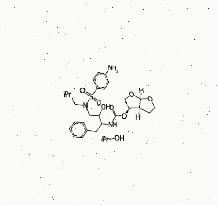 CC(C)CN(CC(O)C(Cc1ccccc1)NC(=O)O[C@H]1CO[C@H]2OCC[C@H]21)S(=O)(=O)c1ccc(N)cc1.CC(C)O